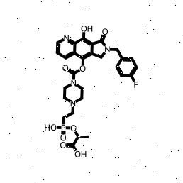 C[C@H](OP(=O)(O)CCN1CCN(C(=O)Oc2c3c(c(O)c4ncccc24)C(=O)N(Cc2ccc(F)cc2)C3)CC1)C(=O)O